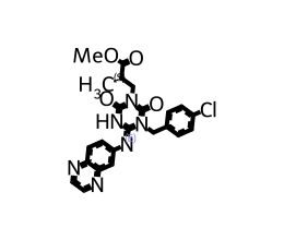 COC(=O)[C@@H](C)Cn1c(=O)[nH]/c(=N\c2ccc3nccnc3c2)n(Cc2ccc(Cl)cc2)c1=O